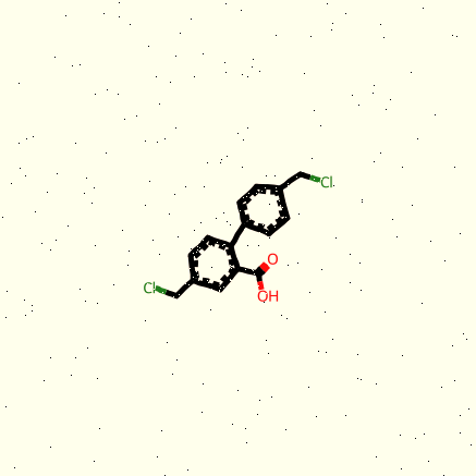 O=C(O)c1cc(CCl)ccc1-c1ccc(CCl)cc1